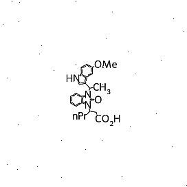 CCCC(CC(=O)O)n1c(=O)n(C(C)c2c[nH]c3ccc(OC)cc23)c2ccccc21